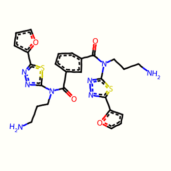 NCCCN(C(=O)c1cccc(C(=O)N(CCCN)c2nnc(-c3ccco3)s2)c1)c1nnc(-c2ccco2)s1